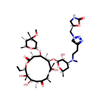 CC[C@H]1OC(=O)[C@H](C)[C@@H](O[C@H]2C[C@@](C)(OC)[C@@H](C)[C@H](C)O2)[C@H](C)[C@@H](O[C@@H]2O[C@H](C)C[C@H](N(C)CCc3cn(C[C@H]4CNC(=O)O4)nn3)[C@H]2O)[C@](C)(O)C[C@@H](C)C(=O)[C@H](C)[C@@H](O)[C@]1(C)O